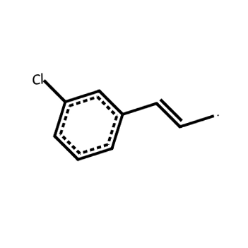 [CH2]C=Cc1cccc(Cl)c1